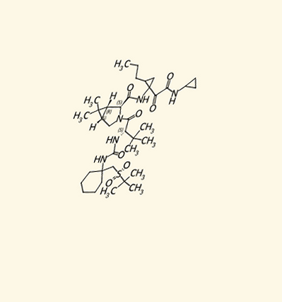 CCCC1CC1(NC(=O)[C@@H]1[C@@H]2[C@H](CN1C(=O)[C@@H](NC(=O)NC1(CS(=O)(=O)C(C)(C)C)CCCCC1)C(C)(C)C)C2(C)C)C(=O)C(=O)NC1CC1